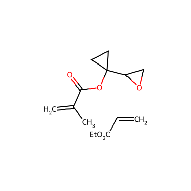 C=C(C)C(=O)OC1(C2CO2)CC1.C=CC(=O)OCC